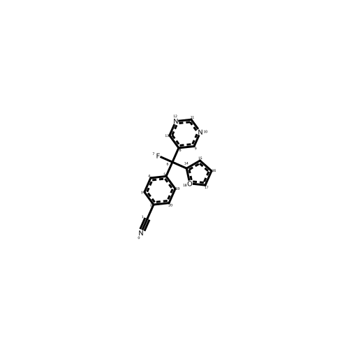 N#Cc1ccc(C(F)(c2cncnc2)c2ccco2)cc1